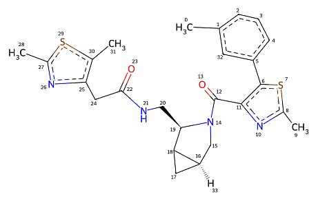 Cc1cccc(-c2sc(C)nc2C(=O)N2C[C@H]3CC3[C@H]2CNC(=O)Cc2nc(C)sc2C)c1